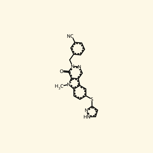 Cn1c2ccc(Sc3cc[nH]n3)cc2c2cnn(Cc3cccc(C#N)c3)c(=O)c21